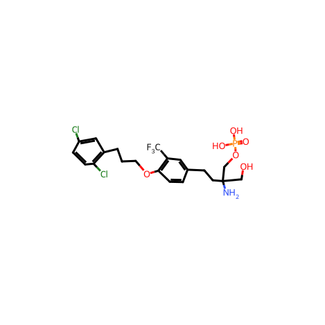 NC(CO)(CCc1ccc(OCCCc2cc(Cl)ccc2Cl)c(C(F)(F)F)c1)COP(=O)(O)O